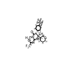 CN1C(=O)[C@H](c2ccc(S(F)(F)(F)(F)F)cc2)[C@@](C)(C2CCCOC2)N/C1=N/C(=O)C(F)(F)F